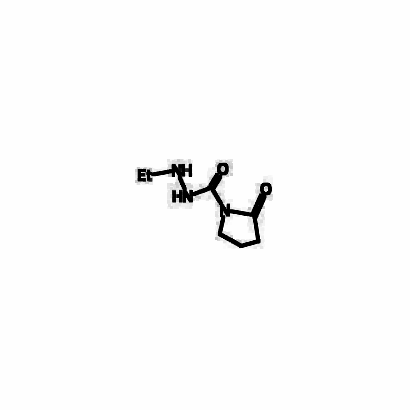 CCNNC(=O)N1CCCC1=O